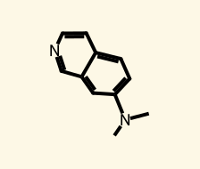 CN(C)c1ccc2ccncc2c1